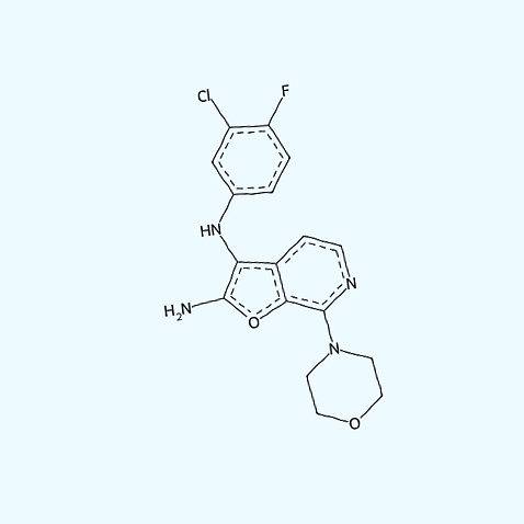 Nc1oc2c(N3CCOCC3)nccc2c1Nc1ccc(F)c(Cl)c1